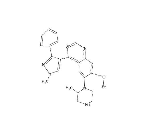 CCOc1cc2ncnc(-c3cn(C)nc3-c3ccccc3)c2cc1N1CCNCC1C